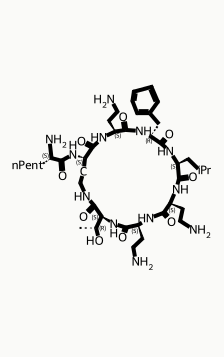 CCCCC[C@H](N)C(=O)N[C@H]1CCNC(=O)[C@H]([C@@H](C)O)NC(=O)[C@H](CCN)NC(=O)[C@H](CCN)NC(=O)[C@H](CC(C)C)NC(=O)[C@@H](Cc2ccccc2)NC(=O)[C@H](CCN)NC1=O